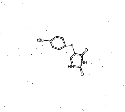 CC(C)(C)c1ccc(Sc2c[nH]c(=O)[nH]c2=O)cc1